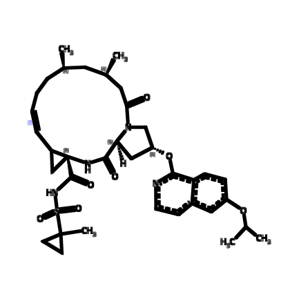 CC(C)Oc1ccc2c(O[C@@H]3C[C@H]4C(=O)N[C@]5(C(=O)NS(=O)(=O)C6(C)CC6)CC5/C=C\CC[C@@H](C)C[C@@H](C)CC(=O)N4C3)nccc2c1